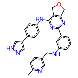 Cc1ccc(CNc2cccc(-c3nc4c(c(Nc5ccc(-c6cn[nH]c6)cc5)n3)COC4)c2)cn1